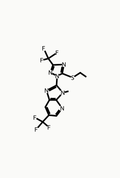 CCSc1nc(C(F)(F)F)nn1-c1nc2cc(C(F)(F)F)cnc2n1C